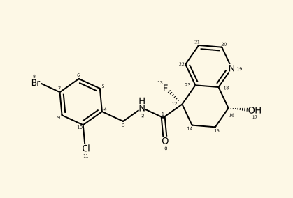 O=C(NCc1ccc(Br)cc1Cl)[C@]1(F)CC[C@@H](O)c2ncccc21